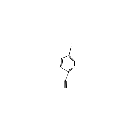 C#Cc1ccc([N+](=O)[O-])cn1